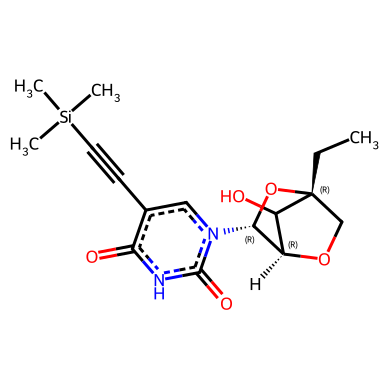 CC[C@@]12CO[C@H](C1O)[C@H](n1cc(C#C[Si](C)(C)C)c(=O)[nH]c1=O)O2